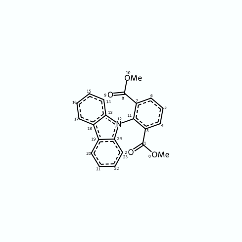 COC(=O)c1cccc(C(=O)OC)c1-n1c2ccccc2c2ccccc21